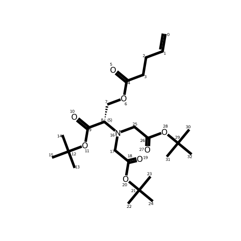 C=CCCC(=O)OC[C@@H](C(=O)OC(C)(C)C)N(CC(=O)OC(C)(C)C)CC(=O)OC(C)(C)C